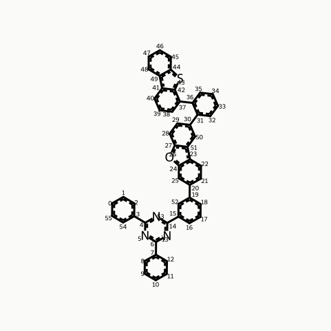 c1ccc(-c2nc(-c3ccccc3)nc(-c3cccc(-c4ccc5c(c4)oc4ccc(-c6ccccc6-c6cccc7c6sc6ccccc67)cc45)c3)n2)cc1